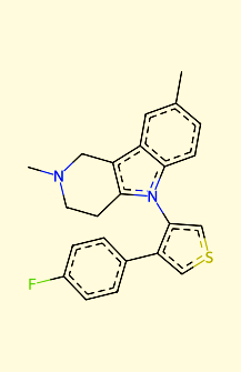 Cc1ccc2c(c1)c1c(n2-c2cscc2-c2ccc(F)cc2)CCN(C)C1